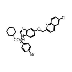 O=C(O)[C@@H]1CCCC[C@@H]1c1nc2cc(OCc3ccc4cc(Cl)ccc4n3)ccc2n1Cc1ccc(Br)cc1